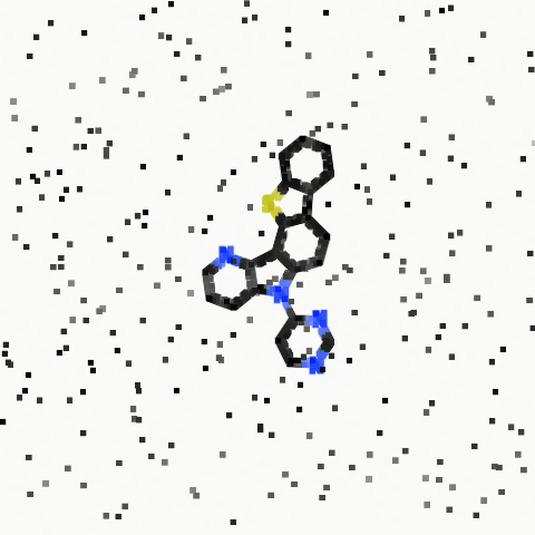 c1ccc2c(c1)sc1c2ccc2c1c1ncccc1n2-c1ccncn1